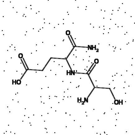 NC(=O)C(CCC(=O)O)NC(=O)C(N)CO